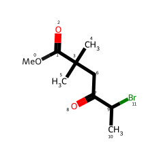 COC(=O)C(C)(C)CC(=O)C(C)Br